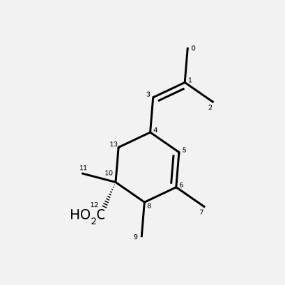 CC(C)=CC1C=C(C)C(C)[C@](C)(C(=O)O)C1